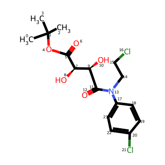 CC(C)(C)OC(=O)[C@H](O)[C@@H](O)C(=O)N(CCCl)c1ccc(Cl)cc1